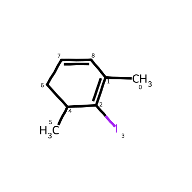 CC1=C(I)C(C)CC=C1